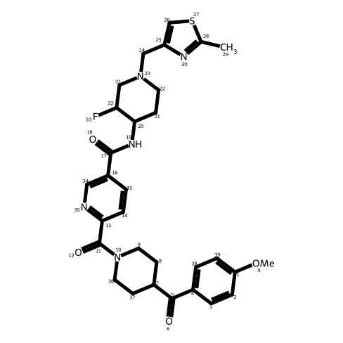 COc1ccc(C(=O)C2CCN(C(=O)c3ccc(C(=O)NC4CCN(Cc5csc(C)n5)CC4F)cn3)CC2)cc1